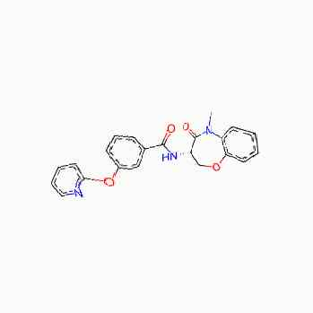 CN1C(=O)[C@@H](NC(=O)c2cccc(Oc3ccccn3)c2)COc2ccccc21